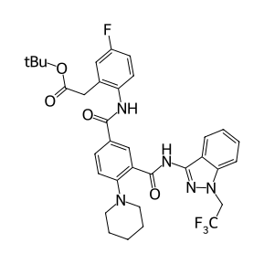 CC(C)(C)OC(=O)Cc1cc(F)ccc1NC(=O)c1ccc(N2CCCCC2)c(C(=O)Nc2nn(CC(F)(F)F)c3ccccc23)c1